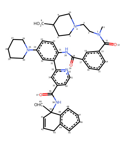 CN(CCN1CCC(C(=O)O)CC1)C(=O)c1cccc(C(=O)Nc2ccc(N3CCCCC3)cc2-c2cc(C(=O)NC3(C=O)C=CCc4ccccc43)ccn2)c1